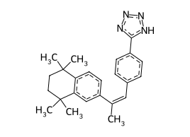 C/C(=C/c1ccc(-c2nnn[nH]2)cc1)c1ccc2c(c1)C(C)(C)CCC2(C)C